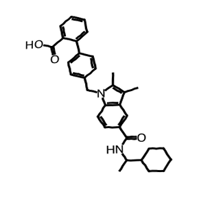 Cc1c(C)n(Cc2ccc(-c3ccccc3C(=O)O)cc2)c2ccc(C(=O)NC(C)C3CCCCC3)cc12